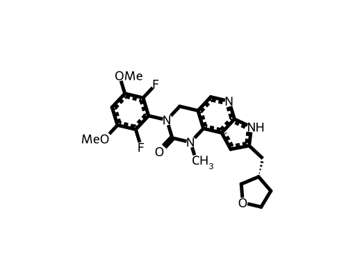 COc1cc(OC)c(F)c(N2Cc3cnc4[nH]c(C[C@@H]5CCOC5)cc4c3N(C)C2=O)c1F